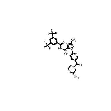 Cc1nc([C@H](C)NC(=O)c2cc(C(F)(F)F)cc(C(F)(F)F)c2)n(-c2ccc(C(=O)N3CCO[C@H](C)C3)cn2)n1